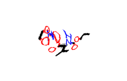 C=CCOC(=O)N[C@H](C(=O)ON1OCCO1)C(C)C